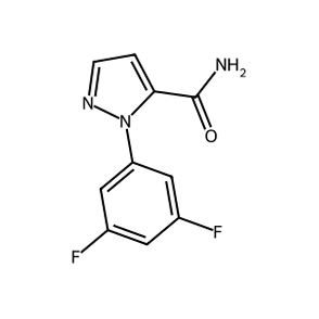 NC(=O)c1ccnn1-c1cc(F)cc(F)c1